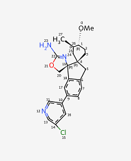 CO[C@@H]1CC[C@]2(Cc3ccc(-c4cncc(Cl)c4)cc3[C@@]23COC(N)=N3)C[C@H]1C